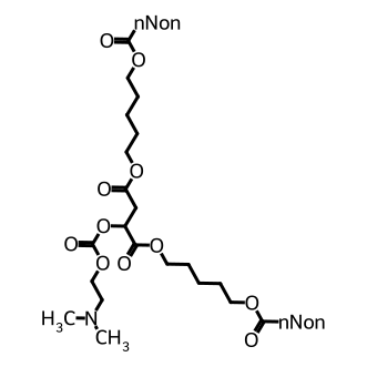 CCCCCCCCCC(=O)OCCCCCOC(=O)CC(OC(=O)OCCN(C)C)C(=O)OCCCCCOC(=O)CCCCCCCCC